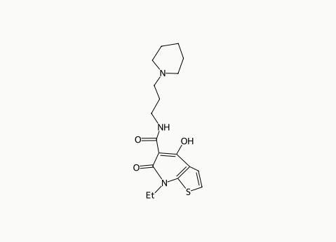 CCn1c(=O)c(C(=O)NCCCN2CCCCC2)c(O)c2ccsc21